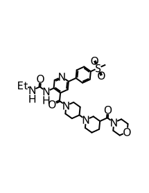 CCNC(=O)Nc1cnc(-c2ccc(S(C)(=O)=O)cc2)cc1C(=O)N1CCC(N2CCCC(C(=O)N3CCOCC3)C2)CC1